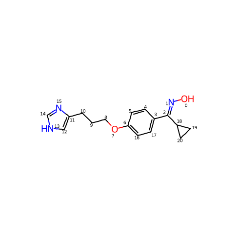 ON=C(c1ccc(OCCCc2c[nH]cn2)cc1)C1CC1